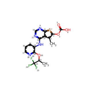 Cc1c(OC(=O)O)sc2ncnc(Nc3cccnc3OC(C)C(F)(F)F)c12